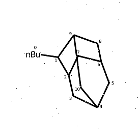 CCCCC1[C]2CC3CC(C2)CC1C3